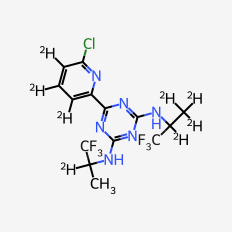 [2H]c1c(Cl)nc(-c2nc(NC([2H])(C)C(F)(F)F)nc(NC([2H])(C([2H])([2H])[2H])C(F)(F)F)n2)c([2H])c1[2H]